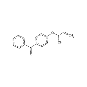 C=CC(O)Oc1ccc(C(=O)c2ccccc2)cc1